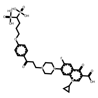 O=C(CCN1CCN(c2cc3c(cc2F)c(=O)c(C(=O)O)cn3C2CC2)CC1)c1ccc(OCCCC(P(=O)(O)O)P(=O)(O)O)cc1